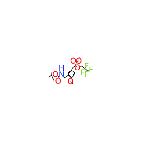 COC(=O)C(Cc1ccc(OC)c(CNC(=O)OC(C)(C)C)c1)OCC(F)(F)C(F)F